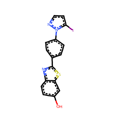 Oc1ccc2nc(-c3ccc(-n4nccc4I)cc3)sc2c1